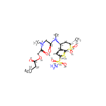 CCN(C(=O)CN(C)C(=O)COC(=O)COC(C)=O)[C@H]1C[C@H](C)S(=O)(=O)c2sc(S(N)(=O)=O)cc21